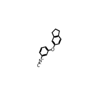 [C-]#[N+]c1cccc(Oc2ccc3c(c2)CCC3)c1